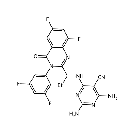 CCC(Nc1nc(N)nc(N)c1C#N)c1nc2c(F)cc(F)cc2c(=O)n1-c1cc(F)cc(F)c1